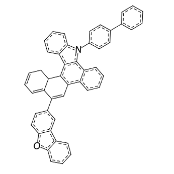 C1=CCC2C(=C1)C(c1ccc3oc4ccccc4c3c1)=Cc1c2c2c3ccccc3n(-c3ccc(-c4ccccc4)cc3)c2c2ccccc12